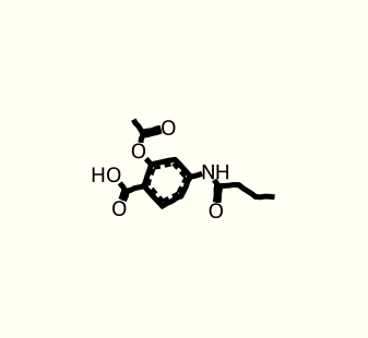 CCCC(=O)Nc1ccc(C(=O)O)c(OC(C)=O)c1